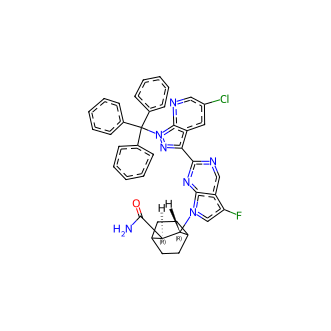 NC(=O)[C@@H]1C2CCC(CC2)[C@H]1n1cc(F)c2cnc(-c3nn(C(c4ccccc4)(c4ccccc4)c4ccccc4)c4ncc(Cl)cc34)nc21